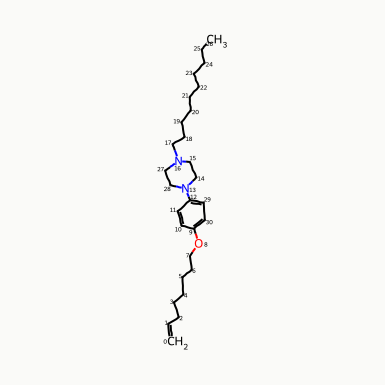 C=CCCCCCCOc1ccc(N2CCN(CCCCCCCCCC)CC2)cc1